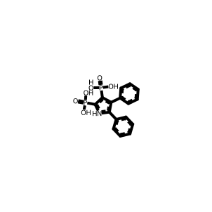 O=P(O)(O)c1[nH]c(-c2ccccc2)c(-c2ccccc2)c1P(=O)(O)O